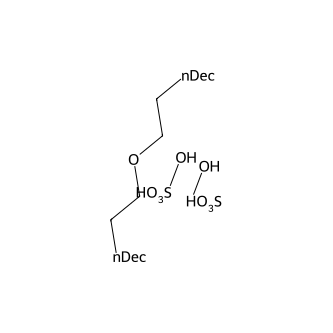 CCCCCCCCCCCCOCCCCCCCCCCCC.O=S(=O)(O)O.O=S(=O)(O)O